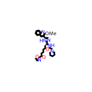 COc1nc2ccccc2cc1-c1cnc([C@H](CCCCCC(=O)c2ncco2)NC(=O)CN2CCCCC2)[nH]1